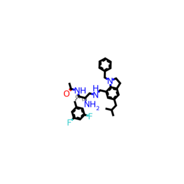 CC(=O)N[C@@H](Cc1cc(F)cc(F)c1)[C@@H](N)CNCc1cc(CC(C)C)cc2c1N(Cc1ccccc1)CC2